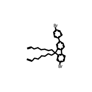 C=CCCCCCCC1(CCCCCCC=C)c2cc(Br)ccc2-c2ccc(-c3ccc(Br)cc3)cc21